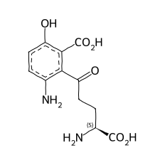 Nc1ccc(O)c(C(=O)O)c1C(=O)CC[C@H](N)C(=O)O